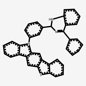 c1ccc(C2=NC(c3cccc(-n4c5ccccc5c5cc6sc7ccccc7c6cc54)c3)Nc3ccccc32)cc1